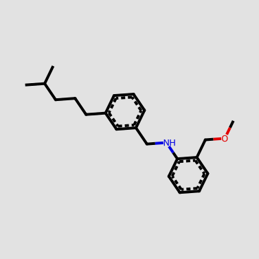 COCc1ccccc1NCc1cccc(CCCC(C)C)c1